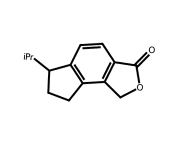 CC(C)C1CCc2c1ccc1c2COC1=O